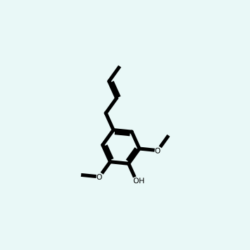 CC=CCc1cc(OC)c(O)c(OC)c1